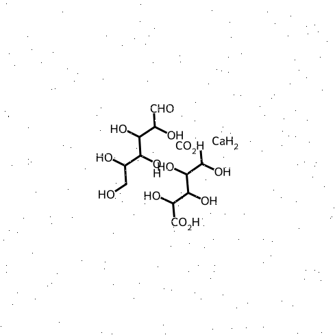 O=C(O)C(O)C(O)C(O)C(O)C(=O)O.O=CC(O)C(O)C(O)C(O)CO.[CaH2]